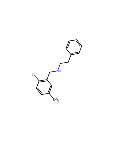 O=[N+]([O-])c1ccc(Cl)c(CNCCc2ccccc2)c1